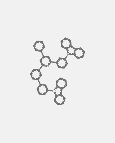 c1ccc(-c2cc(-c3cccc(-c4cccc(-n5c6ccccc6c6ccccc65)c4)c3)nc(-c3cccc(-n4c5ccccc5c5ccccc54)c3)c2)cc1